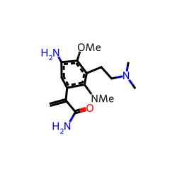 C=C(C(N)=O)c1cc(N)c(OC)c(CCN(C)C)c1NC